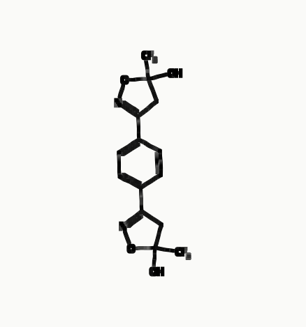 OC1(C(F)(F)F)CC(c2ccc(C3=NOC(O)(C(F)(F)F)C3)cc2)=NO1